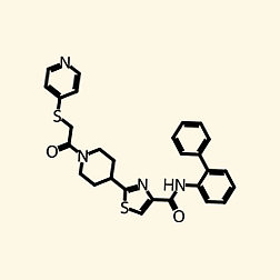 O=C(Nc1ccccc1-c1ccccc1)c1csc(C2CCN(C(=O)CSc3ccncc3)CC2)n1